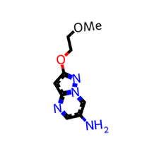 COCCOc1cc2ncc(N)cn2n1